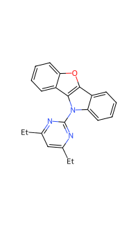 CCc1cc(CC)nc(-n2c3ccccc3c3oc4ccccc4c32)n1